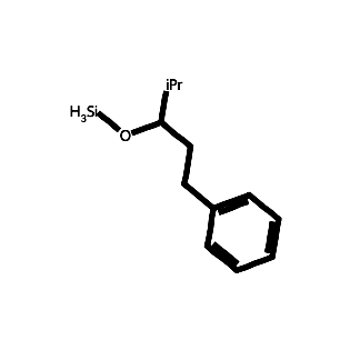 CC(C)C(CCc1ccccc1)O[SiH3]